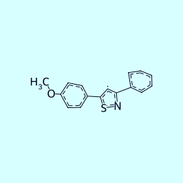 COc1ccc(-c2[c]c(-c3ccccc3)ns2)cc1